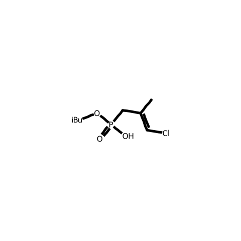 CCC(C)OP(=O)(O)CC(C)=CCl